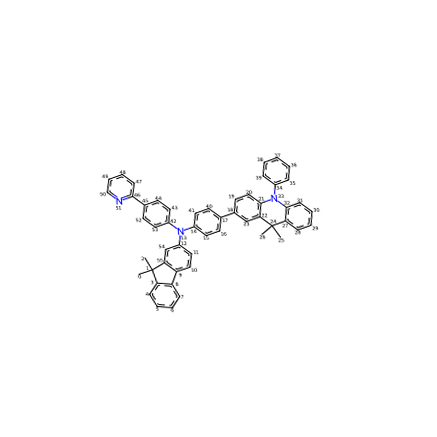 CC1(C)c2ccccc2-c2ccc(N(c3ccc(-c4ccc5c(c4)C(C)(C)c4ccccc4N5c4ccccc4)cc3)c3ccc(-c4ccccn4)cc3)cc21